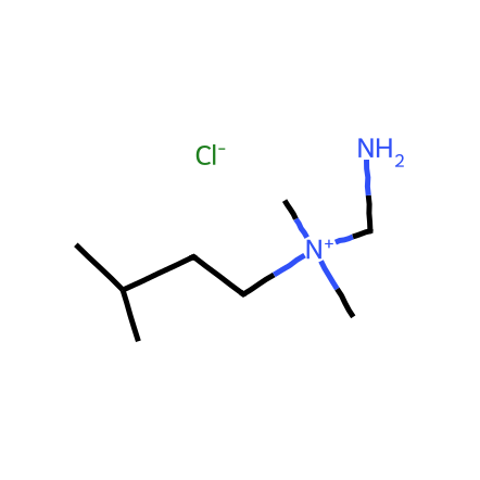 CC(C)CC[N+](C)(C)CN.[Cl-]